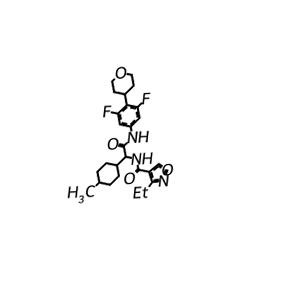 CCc1nocc1C(=O)NC(C(=O)Nc1cc(F)c(C2CCOCC2)c(F)c1)C1CCC(C)CC1